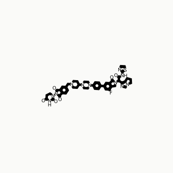 O=C1CCN(N2C(=O)c3ccc(CN4CCC(N5CCN(c6ccc(-c7cc(F)c8c(c7)C(=O)N(C(C(=O)Nc7nccs7)c7ncn9c7CCC9)C8)cc6)CC5)CC4)cc3C2=O)C(=O)N1